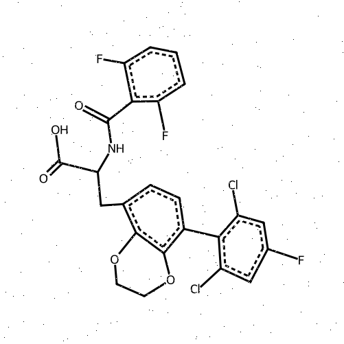 O=C(NC(Cc1ccc(-c2c(Cl)cc(F)cc2Cl)c2c1OCCO2)C(=O)O)c1c(F)cccc1F